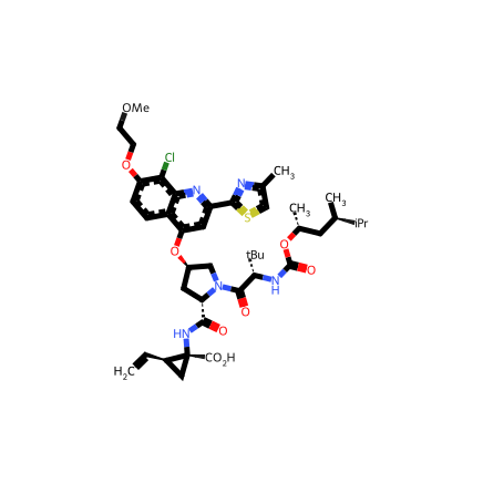 C=C[C@@H]1C[C@]1(NC(=O)[C@@H]1C[C@@H](Oc2cc(-c3nc(C)cs3)nc3c(Cl)c(OCCOC)ccc23)CN1C(=O)[C@@H](NC(=O)O[C@H](C)C[C@@H](C)C(C)C)C(C)(C)C)C(=O)O